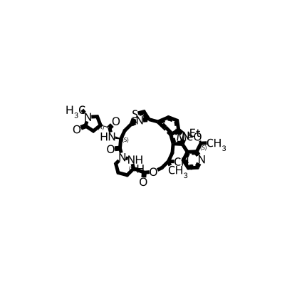 CCn1c(-c2cccnc2[C@H](C)OC)c2c3cc(ccc31)-c1csc(n1)C[C@H](NC(=O)[C@@H]1CC(=O)N(C)C1)C(=O)N1CCC[C@H](N1)C(=O)OCC(C)(C)C2